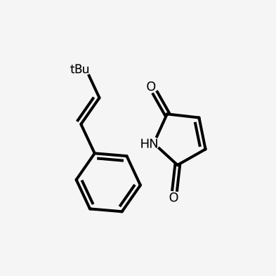 CC(C)(C)C=Cc1ccccc1.O=C1C=CC(=O)N1